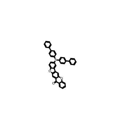 O=c1c2ccccc2oc2cc3c(cc12)oc1ccc(N(c2ccc(-c4ccccc4)cc2)c2ccc(-c4ccccc4)cc2)cc13